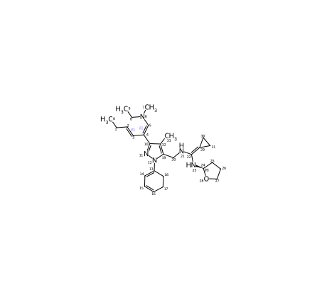 CC/C=C/C(=C\N(C)CC)c1nn(C2=CC=CCC2)c(CNC(N[C@H]2CCCO2)=C2CC2)c1C